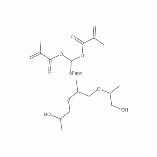 C=C(C)C(=O)OC(CCCCC)OC(=O)C(=C)C.CC(O)COC(C)COC(C)CO